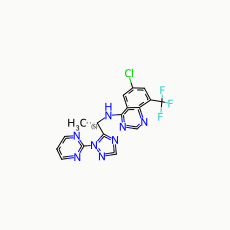 C[C@H](Nc1ncnc2c(C(F)(F)F)cc(Cl)cc12)c1ncnn1-c1ncccn1